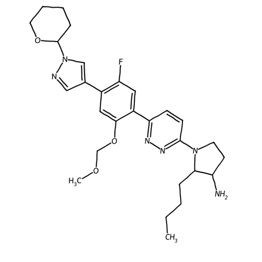 CCCCC1C(N)CCN1c1ccc(-c2cc(F)c(-c3cnn(C4CCCCO4)c3)cc2OCOC)nn1